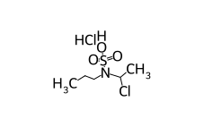 CCCN(C(C)Cl)S(=O)(=O)O.Cl